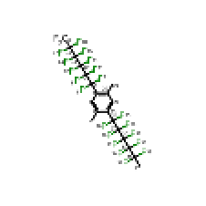 Cc1cc(C(F)(F)C(F)(F)C(F)(F)C(F)(F)C(F)(F)C(F)(F)F)c(C)cc1C(F)(F)C(F)(F)C(F)(F)C(F)(F)C(C)(F)F